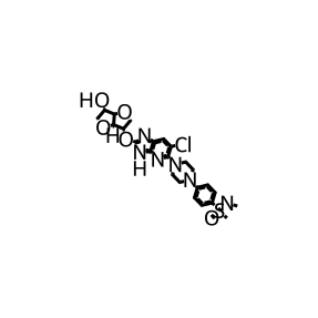 CN=S(C)(=O)c1ccc(N2CCN(c3nc4[nH]c(O[C@@H]5COC6[C@H](O)CO[C@@H]65)nc4cc3Cl)CC2)cc1